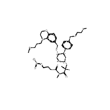 COCCCN1CCOc2ccc(CO[C@H]3CN[C@@H](CC(C)(C)C(=O)N(C)C(=O)CCCO[N+](=O)[O-])C[C@@H]3c3ccc(COCCOC)cc3)cc21